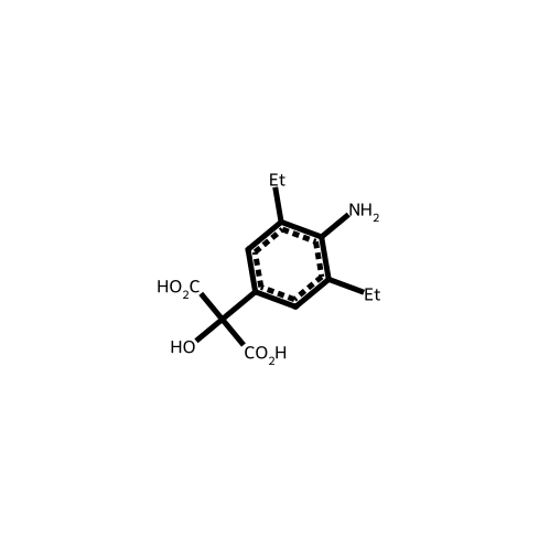 CCc1cc(C(O)(C(=O)O)C(=O)O)cc(CC)c1N